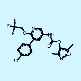 Cc1noc(C)c1OC(=O)Nc1cnc(OCC(F)(F)F)c(-c2ccc(Cl)cc2)c1